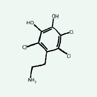 NCCc1c(Cl)c(O)c(O)c(Cl)c1Cl